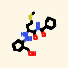 CSCCC(NNc1ccccc1CO)C(=O)NC(=O)c1ccccc1